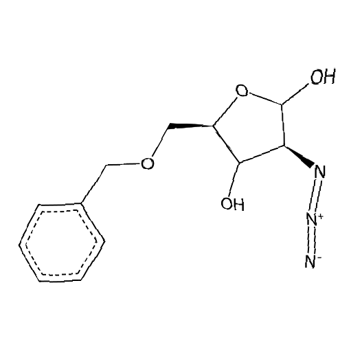 [N-]=[N+]=N[C@@H]1C(O)O[C@H](COCc2ccccc2)C1O